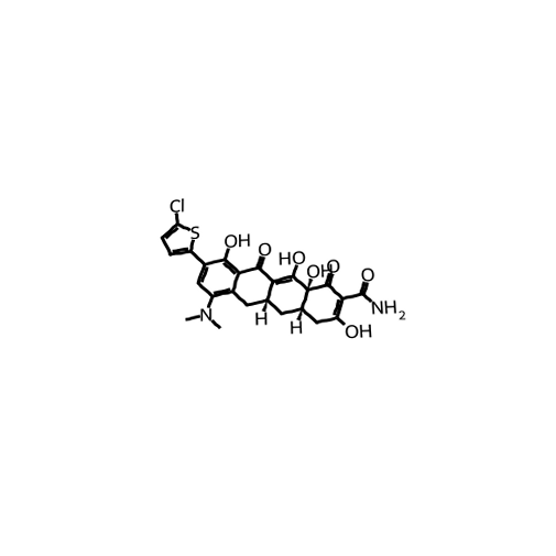 CN(C)c1cc(-c2ccc(Cl)s2)c(O)c2c1C[C@H]1C[C@H]3CC(O)=C(C(N)=O)C(=O)[C@@]3(O)C(O)=C1C2=O